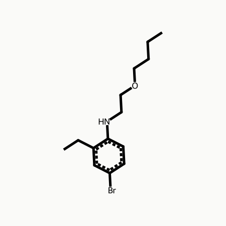 CCCCOCCNc1ccc(Br)cc1CC